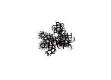 CC1=Cc2ccc3ccccc3c2[CH]1[Zr][C](=C(C(=Cc1ccccc1)c1ccccc1)c1ccccc1)c1ccccc1.CC1C(=Bc2c(F)c(F)c(F)c(F)c2F)c2cccc(=[Si](C)C)c2=C1c1c(F)c(F)c(F)c(F)c1F